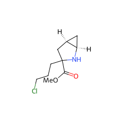 COC(=O)C1(CCCCl)C[C@H]2C[C@H]2N1